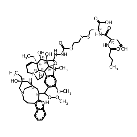 C#CC[C@H](NC(=O)CCC)C(=O)N[C@H](CSSCCOC(=O)NNC(=O)[C@@]1(O)[C@H](O)[C@]2(CC)C=CCN3CC[C@@]4(c5cc(C(OOC)[C@@H]6C[C@@H]7CN(CCc8c6[nH]c6ccccc86)C[C@](O)(CC)C7)c(OC)cc5N(C)[C@@H]14)[C@@H]32)C(=O)O